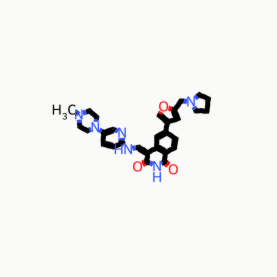 CN1CCN(c2ccc(NC=C3C(=O)NC(=O)c4ccc(-c5coc(CN6CCCC6)c5)cc43)nc2)CC1